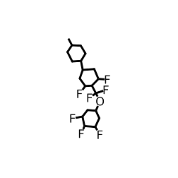 CC1CCC(C2CC(F)C(C(F)(F)OC3CC(F)C(F)C(F)C3)C(F)C2)CC1